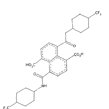 O=C(O)c1ccc(C(=O)NC2CCC(C(F)(F)F)CC2)c2c(C(=O)O)ccc(C(=O)CC3CCC(C(F)(F)F)CC3)c12